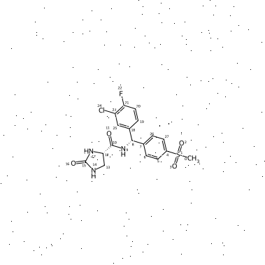 CS(=O)(=O)c1ccc([C@H](NC(=O)[C@@H]2CNC(=O)N2)c2ccc(F)c(Cl)c2)cc1